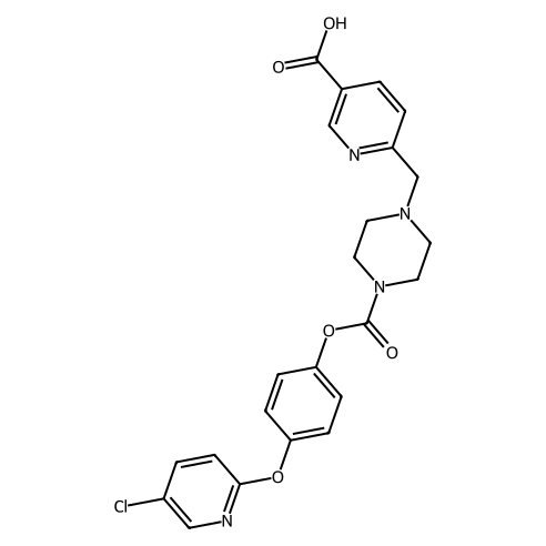 O=C(O)c1ccc(CN2CCN(C(=O)Oc3ccc(Oc4ccc(Cl)cn4)cc3)CC2)nc1